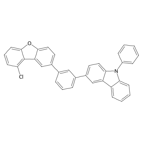 Clc1cccc2oc3ccc(-c4cccc(-c5ccc6c(c5)c5ccccc5n6-c5ccccc5)c4)cc3c12